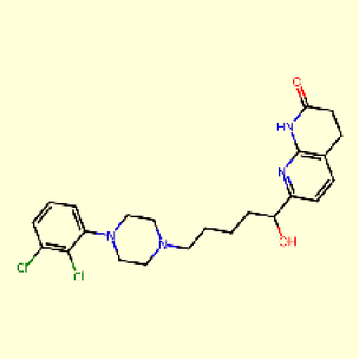 O=C1CCc2ccc(C(O)CCCCN3CCN(c4cccc(Cl)c4Cl)CC3)nc2N1